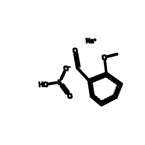 COc1ccccc1C=O.O=S([O-])O.[Na+]